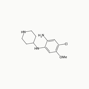 COc1cc(NC2CCNCC2)c(N)cc1Cl